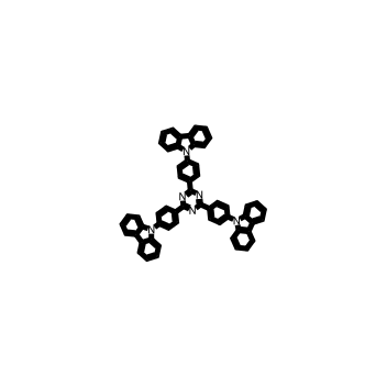 C1=Cc2c(c3ccccc3n2-c2ccc(-c3nc(-c4ccc(-n5c6ccccc6c6ccccc65)cc4)nc(-c4ccc(-n5c6ccccc6c6ccccc65)cc4)n3)cc2)CC1